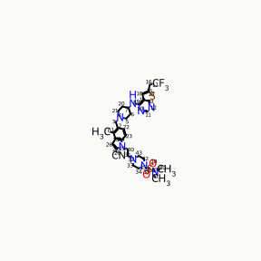 Cc1c(CN2CCC(Nc3ncnc4sc(CC(F)(F)F)cc34)CC2)ccc2c1cc(C#N)n2CCN1CCN(S(=O)(=O)N(C)C)CC1